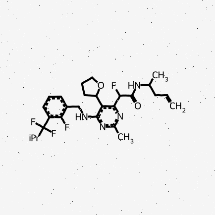 C=CCC(C)NC(=O)C(F)c1nc(C)nc(NCc2cccc(C(F)(F)C(C)C)c2F)c1C1CCCO1